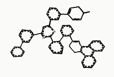 CC1C=CC(c2cccc(-c3cc(-c4cccc(-c5ccccc5)c4)nc(-c4ccccc4-c4ccccc4C4=Cc5c(c6ccccc6c6ccccc56)CC4)n3)c2)=CC1